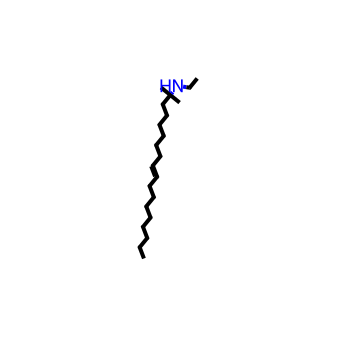 CCCCCCCCC=CCCCCCCC(C)(C)NCC